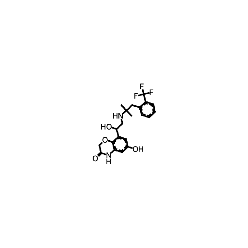 CC(C)(Cc1ccccc1C(F)(F)F)NCC(O)c1cc(O)cc2c1OCC(=O)N2